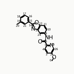 COc1ccc(C(=O)Nc2ccc3oc(-c4cccc(C)c4)nc3c2)nc1